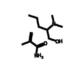 C=C(C)C(N)=O.CCCC(CO)N(C)C